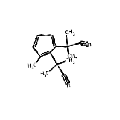 Cc1cccc(C(C)(C)C#N)c1C(C)(C)C#N